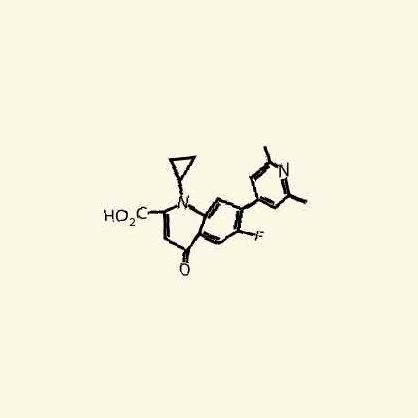 Cc1cc(-c2cc3c(cc2F)c(=O)cc(C(=O)O)n3C2CC2)cc(C)n1